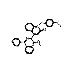 COC(=O)C(N=C(c1ccccc1)c1ccccc1)c1cc(=O)n(Cc2ccc(OC)cc2)c2ccccc12